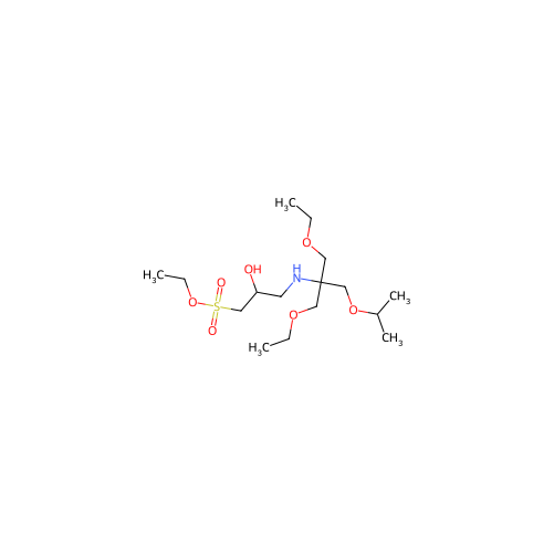 CCOCC(COCC)(COC(C)C)NCC(O)CS(=O)(=O)OCC